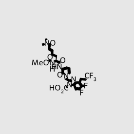 COC(=O)N[C@@H](CC/C=C/C(=O)N(C)C)C(=O)Nc1cccn(Cc2nc3c(CCC(F)(F)F)c(F)c(F)cc3n2C(=O)O)c1=O